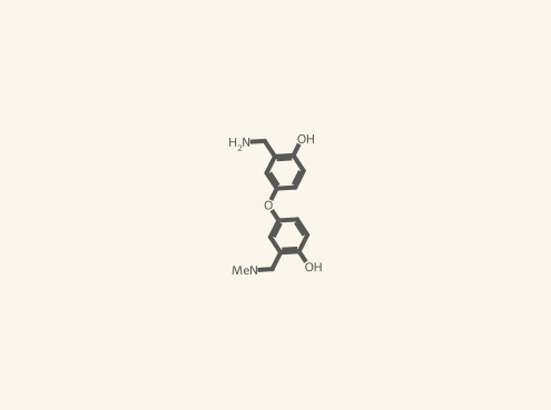 CNCc1cc(Oc2ccc(O)c(CN)c2)ccc1O